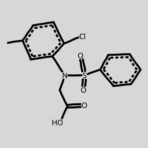 Cc1ccc(Cl)c(N(CC(=O)O)S(=O)(=O)c2ccccc2)c1